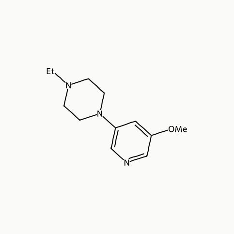 CCN1CCN(c2cncc(OC)c2)CC1